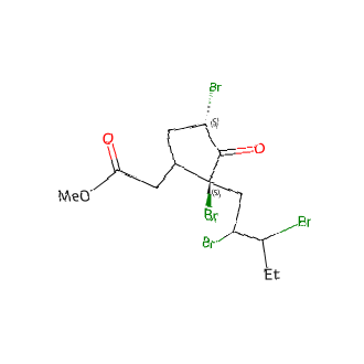 CCC(Br)C(Br)C[C@@]1(Br)C(=O)[C@@H](Br)CC1CC(=O)OC